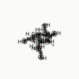 CCCCOc1cc(N=Nc2ccc(N=Nc3ccc(S(=O)(=O)O)cc3)cc2S(=O)(=O)O)c(C)cc1Nc1nc(NCCNc2nc(Nc3ccc(N=Nc4ccc(N=Nc5ccc(S(=O)(=O)O)cc5)cc4S(=O)(=O)O)c(C)c3)nc(Nc3ccc(N=Nc4ccc(N=Nc5ccc(S(=O)(=O)O)cc5)cc4S(=O)(=O)O)c(C)c3)n2)nc(Nc2ccc(N=Nc3ccc(N=Nc4ccc(S(=O)(=O)O)cc4)cc3S(=O)(=O)O)c(C)c2)n1